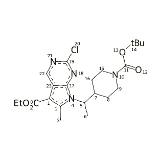 CCOC(=O)c1c(C)n(C(C)C2CCN(C(=O)OC(C)(C)C)CC2)c2nc(Cl)ncc12